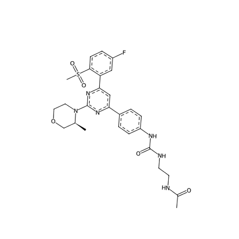 CC(=O)NCCNC(=O)Nc1ccc(-c2cc(-c3cc(F)ccc3S(C)(=O)=O)nc(N3CCOC[C@@H]3C)n2)cc1